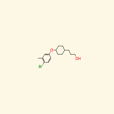 Cc1cc(OC2CCC(CCCO)CC2)ccc1Br